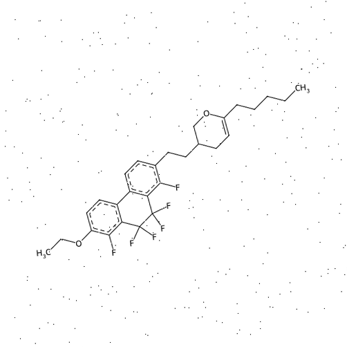 CCCCCC1=CCC(CCc2ccc3c(c2F)C(F)(F)C(F)(F)c2c-3ccc(OCC)c2F)CO1